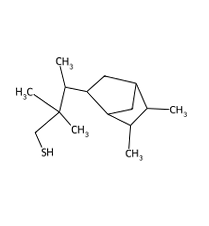 CC1C2CC(C1C)C(C(C)C(C)(C)CS)C2